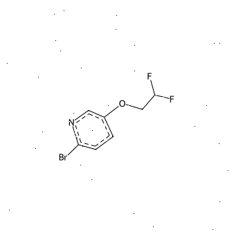 FC(F)COc1ccc(Br)nc1